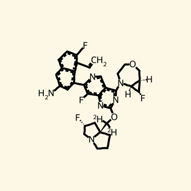 [2H]C([2H])(Oc1nc(N2CCOC[C@H]3[C@H](F)[C@H]32)c2cnc(-c3cc(N)cc4ccc(F)c(C=C)c34)c(F)c2n1)[C@@]12CCCN1C[C@H](F)C2